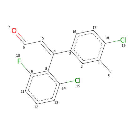 Cc1cc(C(=CC=O)c2c(F)cccc2Cl)ccc1Cl